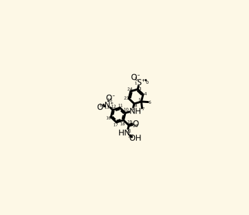 C[S+]([O-])C1=CC(C)(C)C(Nc2cc([N+](=O)[O-])ccc2C(=O)NO)C=C1